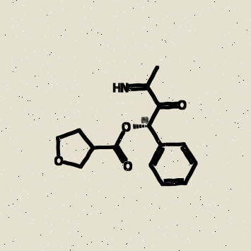 CC(=N)C(=O)[C@@H](OC(=O)C1CCOC1)c1ccccc1